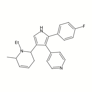 CCN1C(C)C=CCC1c1c[nH]c(-c2ccc(F)cc2)c1-c1ccncc1